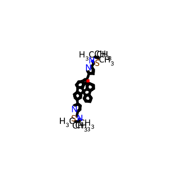 CC1(C)N=C(c2ccc(-c3ccc4c(c3)C3(c5ccccc5-c5ccccc53)c3c-4ccc4cc(-c5ccc(C6=NC(C)(C)C(C)(C)S6)nc5)ccc34)cn2)SC1(C)C